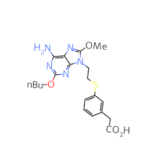 CCCCOc1nc(N)c2nc(OC)n(CCSc3cccc(CC(=O)O)c3)c2n1